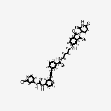 O=C1CCC(N2C(=O)c3ccc(NCCCCNC(=O)c4cccc(C#Cc5cc(NC(=O)Nc6ccnc(Cl)c6)ccn5)c4)cc3C2=O)C(=O)N1